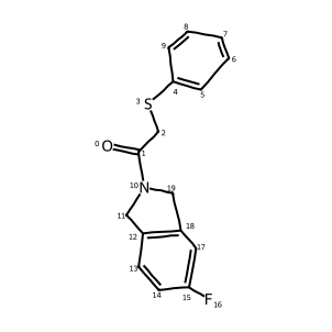 O=C(CSc1ccccc1)N1Cc2ccc(F)cc2C1